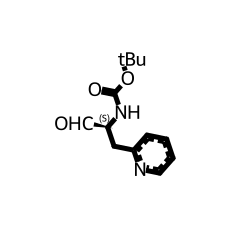 CC(C)(C)OC(=O)N[C@H](C=O)Cc1ccccn1